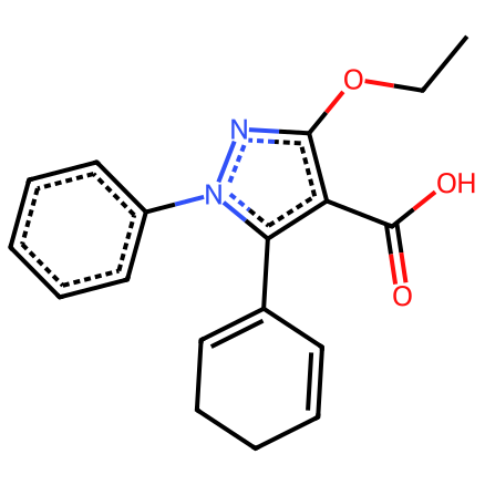 CCOc1nn(-c2ccccc2)c(C2=CCCC=C2)c1C(=O)O